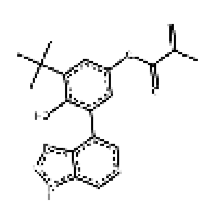 C=C(C)C(=O)Oc1cc(-c2cccc3[nH]nnc23)c(O)c(C(C)(C)C)c1